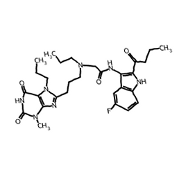 CCCC(=O)c1[nH]c2ccc(F)cc2c1NC(=O)CN(CCC)CCCc1nc2c(c(=O)[nH]c(=O)n2C)n1CCC